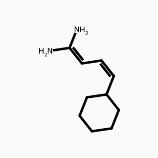 NC(N)=C/C=C\C1CCCCC1